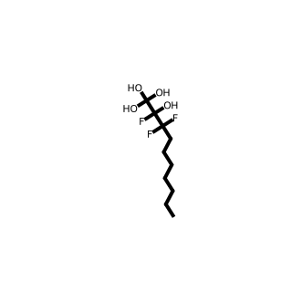 CCCCCCCC(F)(F)C(O)(F)C(O)(O)O